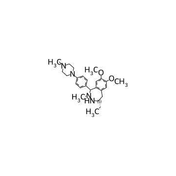 CC[C@H]1Cc2cc(OC)c(OC)cc2C(c2ccc(N3CCN(C)CC3)cc2)N(C)N1